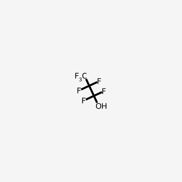 OC(F)(F)C(F)(F)C(F)(F)F